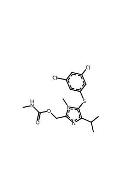 CNC(=O)OCc1nc(C(C)C)c(Sc2cc(Cl)cc(Cl)c2)n1C